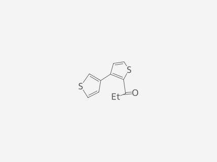 CCC(=O)c1sccc1-c1ccsc1